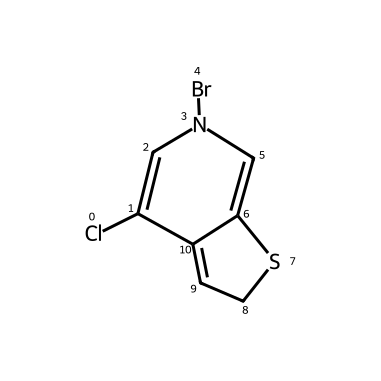 ClC1=CN(Br)C=C2SCC=C12